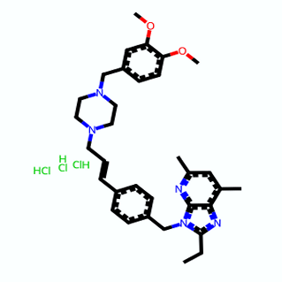 CCc1nc2c(C)cc(C)nc2n1Cc1ccc(C=CCN2CCN(Cc3ccc(OC)c(OC)c3)CC2)cc1.Cl.Cl.Cl